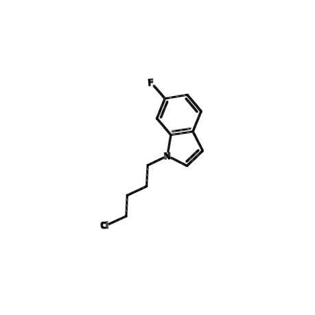 Fc1ccc2ccn(CCCCCl)c2c1